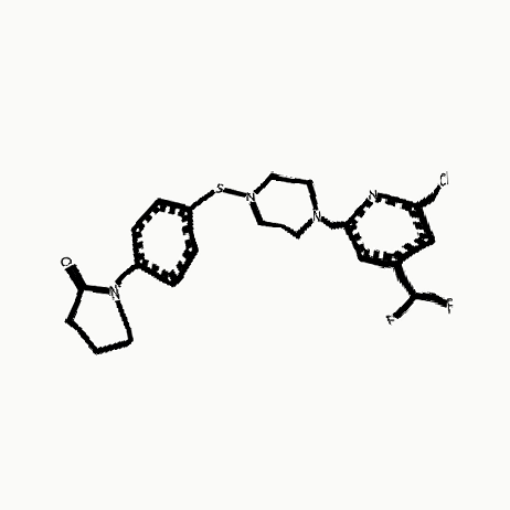 O=C1CCCN1c1ccc(SN2CCN(c3cc(C(F)F)cc(Cl)n3)CC2)cc1